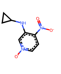 O=[N+]([O-])c1cc[n+]([O-])cc1NC1CC1